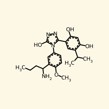 CCCC(N)c1cc(-n2c(O)nnc2-c2cc(C(C)C)c(O)cc2O)ccc1OC